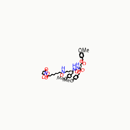 COc1ccc(COC(=O)CC[C@H](NC(=O)N[C@@H](CCCCNC(=O)CCCCCCC(=O)ON2C(=O)CCC2=O)Cc2ccc(OC)cc2)C(=O)OCc2ccc(OC)cc2)cc1